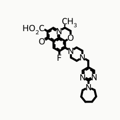 C[C@H]1COc2c(N3CCN(Cc4cnc(N5CCCCCC5)nc4)CC3)c(F)cc3c(=O)c(C(=O)O)cn1c23